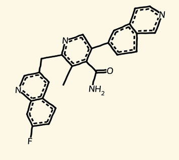 Cc1c(Cc2cnc3cc(F)ccc3c2)ncc(-c2ccc3cnccc3c2)c1C(N)=O